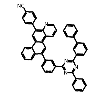 N#Cc1ccc(-c2cc3c4ccccc4c(-c4cccc(-c5nc(-c6ccccc6)nc(-c6cccc(-c7ccccc7)c6)n5)c4)cc3c3cccnc23)cc1